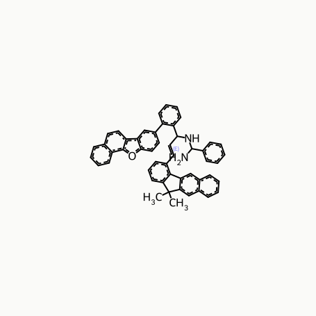 CC1(C)c2cc3ccccc3cc2-c2c(/C=C/C(NC(N)c3ccccc3)c3ccccc3-c3ccc4oc5c6ccccc6ccc5c4c3)cccc21